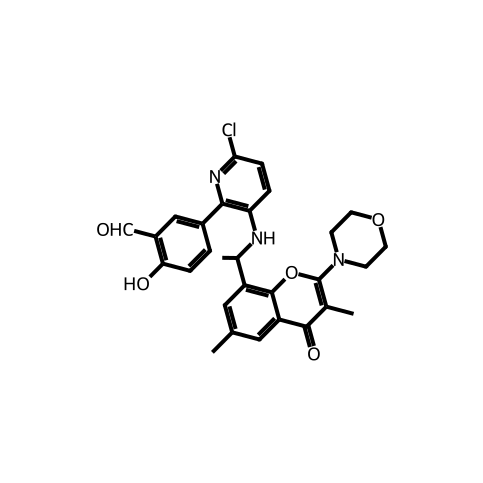 Cc1cc(C(C)Nc2ccc(Cl)nc2-c2ccc(O)c(C=O)c2)c2oc(N3CCOCC3)c(C)c(=O)c2c1